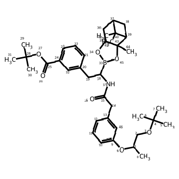 CC(COC(C)(C)C)Oc1cccc(CC(=O)NC(Cc2cccc(C(=O)OC(C)(C)C)c2)B2OC3CC4CC(C4(C)C)C3(C)O2)c1